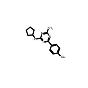 CC(C)(C)c1ccc(-c2nc(N)nc(NC3CCCC3)n2)cc1